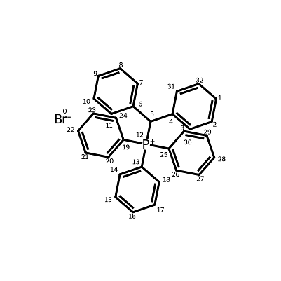 [Br-].c1ccc(C(c2ccccc2)[P+](c2ccccc2)(c2ccccc2)c2ccccc2)cc1